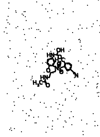 CC(=O)NCC1CN(S(=O)(=O)c2cc(C#N)ccc2C)c2cc(NC(=O)O)ccc2O1